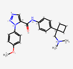 COc1ccc(-n2nncc2C(=O)Nc2ccc(C3(CN(C)C)CCC3)cc2)cc1